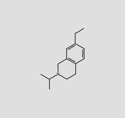 CCc1ccc2c(c1)CN(C(C)C)CC2